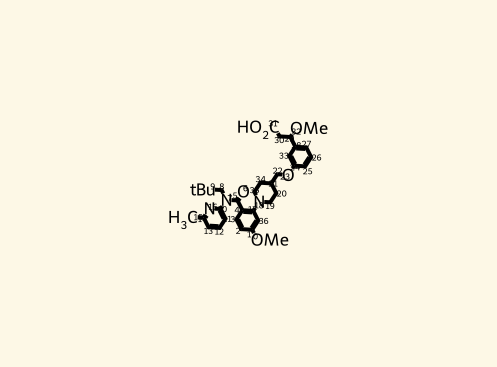 COc1ccc(C(=O)N(CC(C)(C)C)c2cccc(C)n2)c(N2CCC(COc3cccc(C(CC(=O)O)OC)c3)CC2)c1